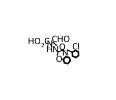 CN(C(=O)O)[C@H](C=O)CN[C@H]1COc2ccccc2N(Cc2ccccc2Cl)C1=O